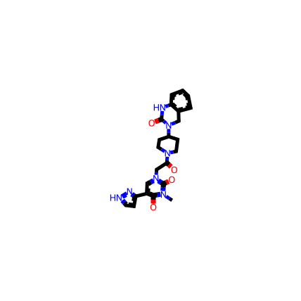 Cn1c(=O)c(-c2cc[nH]n2)cn(CC(=O)N2CCC(N3Cc4ccccc4NC3=O)CC2)c1=O